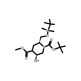 COC(=O)C1C[C@@H](CO[Si](C)(C)C(C)(C)C)N(C(=O)OC(C)(C)C)C[C@H]1O